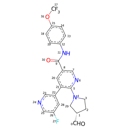 O=C[C@H]1CCN(c2ncc(C(=O)Nc3ccc(OC(F)(F)F)cc3)cc2-c2cncc(F)c2)C1